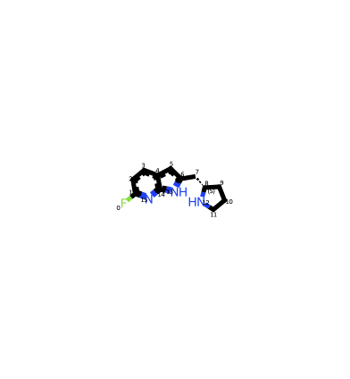 Fc1ccc2cc(C[C@@H]3CCCN3)[nH]c2n1